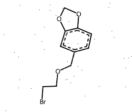 BrCCOCc1ccc2c(c1)OCO2